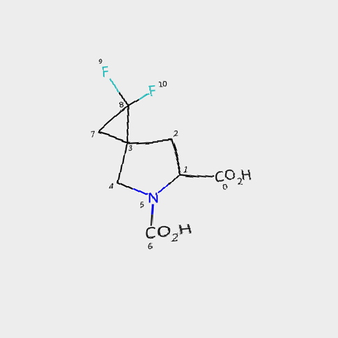 O=C(O)C1CC2(CN1C(=O)O)CC2(F)F